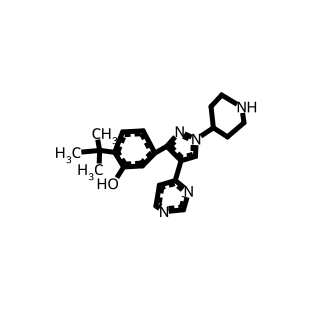 CC(C)(C)c1ccc(-c2nn(C3CCNCC3)cc2-c2ccncn2)cc1O